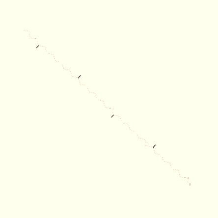 CNCNC(=O)COCCOCCNC(=O)COCCOCCNC(=O)COCCOCCNC(=O)COCCOCCNN